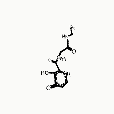 CC(C)CNC(=O)CNC(=O)c1[nH]ccc(=O)c1O